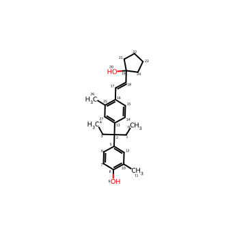 CCC(CC)(c1ccc(O)c(C)c1)c1ccc(C=CC2(O)CCCC2)c(C)c1